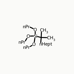 CCCCCCCC(C)(C)[Si](OCCC)(OCCC)OCCC